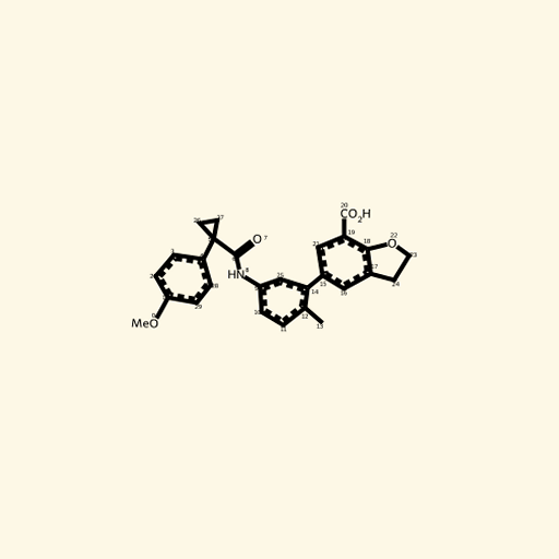 COc1ccc(C2(C(=O)Nc3ccc(C)c(-c4cc5c(c(C(=O)O)c4)OCC5)c3)CC2)cc1